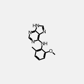 COc1cccc(C)c1Nc1ncnc2[nH]cnc12